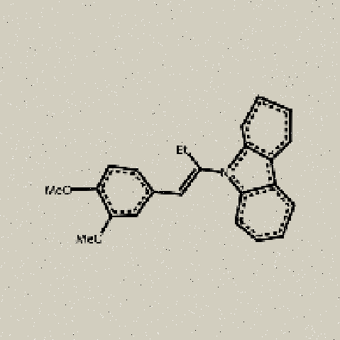 CCC(=Cc1ccc(OC)c(OC)c1)n1c2ccccc2c2ccccc21